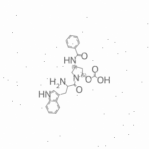 NC(Cc1c[nH]c2ccccc12)C(=O)N1C[C@H](NC(=O)c2ccccc2)C[C@@H]1OC(=O)O